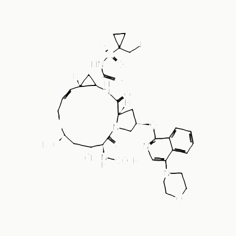 C[C@H]1CC/C=C\[C@@H]2C[C@@]2(C(=O)NS(=O)(=O)C2(CF)CC2)NC(=O)[C@@H]2C[C@@H](Oc3ncc(N4CCOCC4)c4ccccc34)CN2C(=O)[C@@H](NC(=O)O)[C@H](C)C1